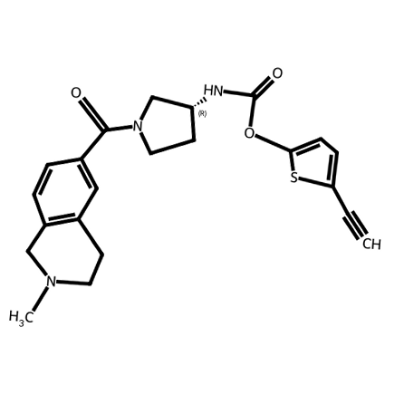 C#Cc1ccc(OC(=O)N[C@@H]2CCN(C(=O)c3ccc4c(c3)CCN(C)C4)C2)s1